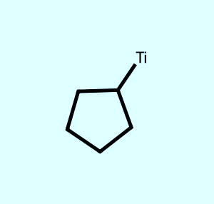 [Ti][CH]1CCCC1